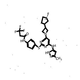 Cc1cc(Nc2cc(N3CC(C4CC[C@H](F)C4)C3)nc(Sc3ccc(NC(=O)CC(F)(F)F)cc3)n2)[nH]n1